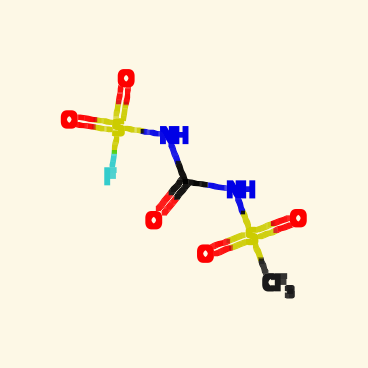 O=C(NS(=O)(=O)F)NS(=O)(=O)C(F)(F)F